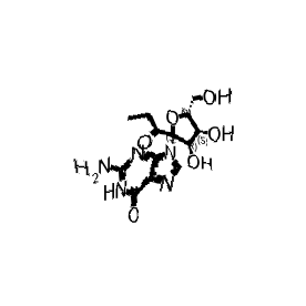 CCC(=O)[C@@]1(n2cnc3c(=O)[nH]c(N)nc32)O[C@H](CO)[C@@H](O)[C@H]1O